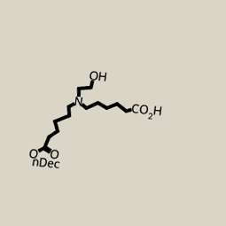 CCCCCCCCCCOC(=O)CCCCCN(CCO)CCCCCC(=O)O